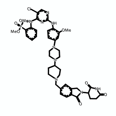 COc1cc(N2CCN(C3CCN(Cc4ccc5c(c4)CN(C4CCC(=O)NC4=O)C5=O)CC3)CC2)ccc1Nc1ncc(Cl)c(Nc2ccccc2P(=O)(OC)OC)n1